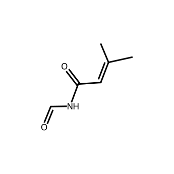 CC(C)=CC(=O)NC=O